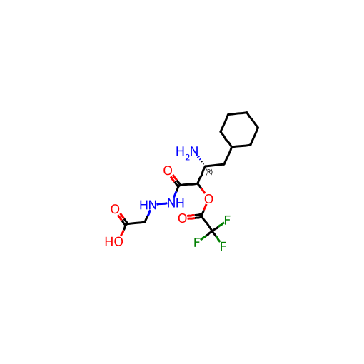 N[C@H](CC1CCCCC1)C(OC(=O)C(F)(F)F)C(=O)NNCC(=O)O